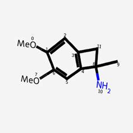 COc1cc2c(cc1OC)C(C)(N)C2